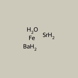 O.[BaH2].[Fe].[SrH2]